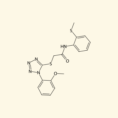 COc1ccccc1-n1nnnc1SCC(=O)Nc1ccccc1SC